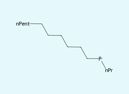 CCCCCCCCCCC[P]CCC